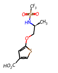 C[C@@H](COc1cc(C(=O)O)cs1)NS(=O)(=O)C(F)(F)F